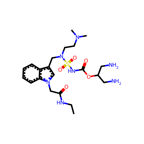 CCNC(=O)Cn1cc(CN(CCN(C)C)S(=O)(=O)NC(=O)OC(CN)CN)c2ccccc21